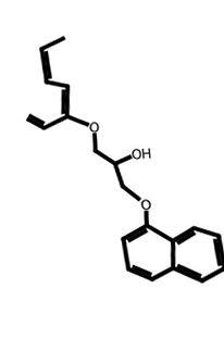 C=C/C(=C\C=C/C)OCC(O)COc1cccc2ccccc12